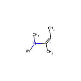 C/C=C(/C)N(C)C(C)C